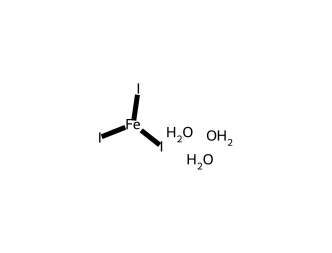 O.O.O.[I][Fe]([I])[I]